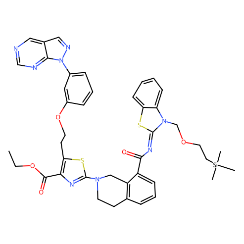 CCOC(=O)c1nc(N2CCc3cccc(C(=O)/N=c4\sc5ccccc5n4COCC[Si](C)(C)C)c3C2)sc1CCOc1cccc(-n2ncc3cncnc32)c1